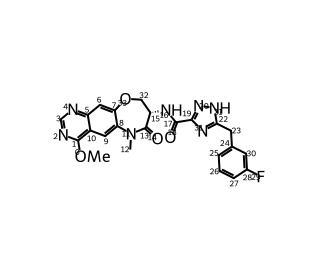 COc1ncnc2cc3c(cc12)N(C)C(=O)[C@@H](NC(=O)c1n[nH]c(Cc2cccc(F)c2)n1)CO3